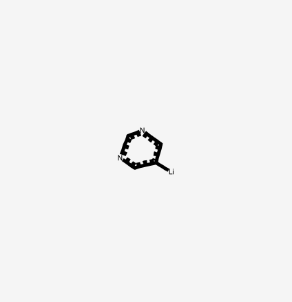 [Li][c]1cncnc1